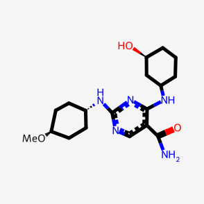 CO[C@H]1CC[C@H](Nc2ncc(C(N)=O)c(NC3CCC[C@H](O)C3)n2)CC1